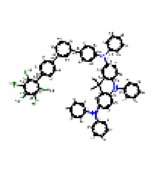 CC1(C)c2cc(N(c3ccccc3)c3ccccc3)ccc2N(c2ccccc2)c2ccc(N(c3ccccc3)c3ccc(-c4cccc(-c5ccc(-c6c(F)c(F)c(F)c(F)c6F)cc5)c4)cc3)cc21